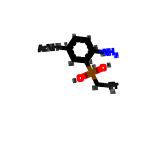 CC(=O)Nc1ccc(N)c(S(=O)(=O)CC(C)C)c1